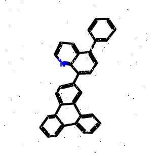 c1ccc(-c2ccc(-c3ccc4c5ccccc5c5ccccc5c4c3)c3ncccc23)cc1